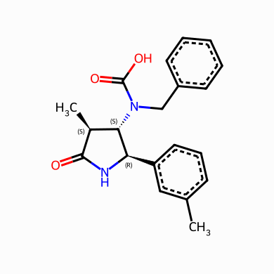 Cc1cccc([C@H]2NC(=O)[C@@H](C)[C@@H]2N(Cc2ccccc2)C(=O)O)c1